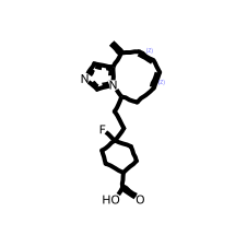 C=C1/C=C\C=C/CC(CCC2(F)CCC(C(=O)O)CC2)n2cncc21